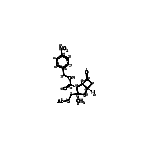 CC(=O)SC[C@]1(C)S[C@@H]2CC(=O)N2[C@H]1C(=O)OCc1ccc([N+](=O)[O-])cc1